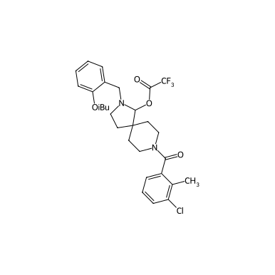 Cc1c(Cl)cccc1C(=O)N1CCC2(CC1)CCN(Cc1ccccc1OCC(C)C)C2OC(=O)C(F)(F)F